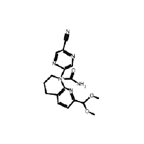 COC(OC)c1ccc2c(n1)[N+](C(N)=O)(c1cnc(C#N)cn1)CCC2